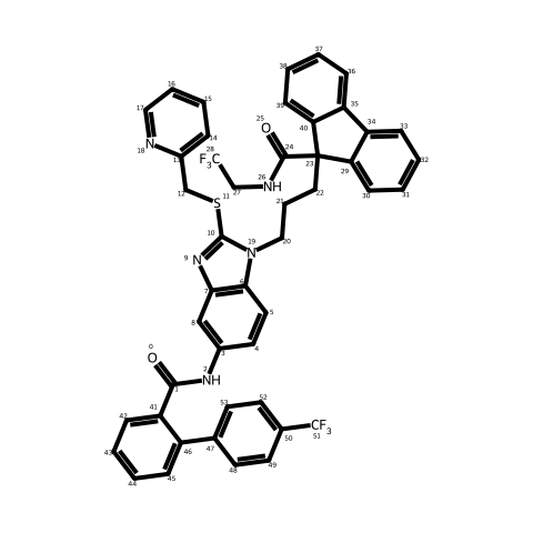 O=C(Nc1ccc2c(c1)nc(SCc1ccccn1)n2CCCC1(C(=O)NCC(F)(F)F)c2ccccc2-c2ccccc21)c1ccccc1-c1ccc(C(F)(F)F)cc1